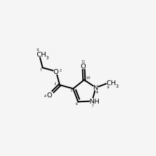 CCOC(=O)c1c[nH]n(C)c1=O